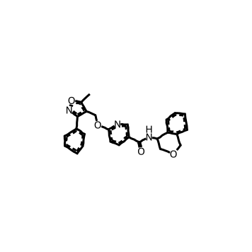 Cc1onc(-c2ccccc2)c1COc1ccc(C(=O)NC2COCc3ccccc32)cn1